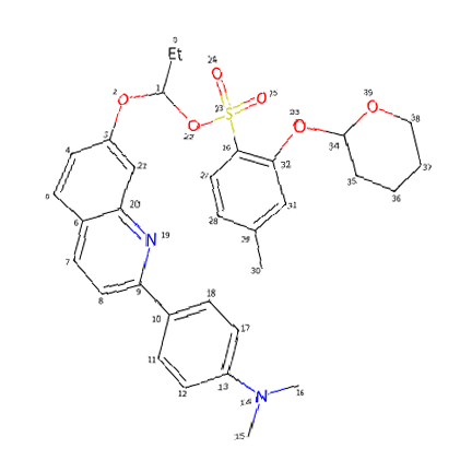 CCC(Oc1ccc2ccc(-c3ccc(N(C)C)cc3)nc2c1)OS(=O)(=O)c1ccc(C)cc1OC1CCCCO1